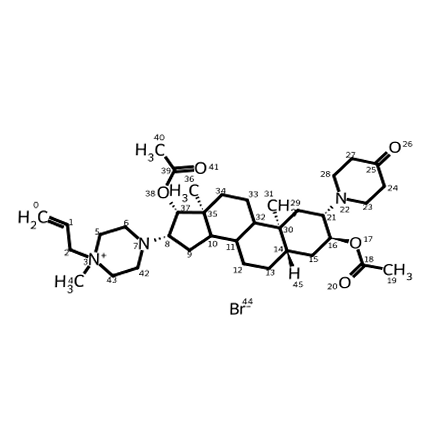 C=CC[N+]1(C)CCN([C@H]2CC3C4CC[C@H]5C[C@H](OC(C)=O)[C@@H](N6CCC(=O)CC6)C[C@]5(C)C4CC[C@]3(C)[C@H]2OC(C)=O)CC1.[Br-]